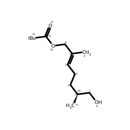 CC(=CCC[C@H](C)CO)COC(=O)C(C)(C)C